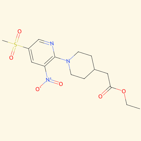 CCOC(=O)CC1CCN(c2ncc(S(C)(=O)=O)cc2[N+](=O)[O-])CC1